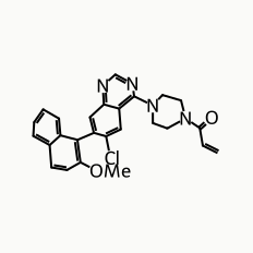 C=CC(=O)N1CCN(c2ncnc3cc(-c4c(OC)ccc5ccccc45)c(Cl)cc23)CC1